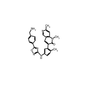 Cc1cc2c(cn1)cc(-c1cc(Nc3noc(-c4ccc(CN)cc4)n3)ccc1C)c(=O)n2C